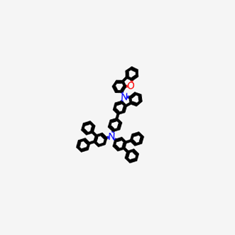 C1=C(N(c2ccc(-c3ccc4c(c3)c3ccccc3n4-c3cccc4c3oc3ccccc34)cc2)c2ccc(-c3ccccc3)c(-c3ccccc3)c2)CCC(c2ccccc2)=C1c1ccccc1